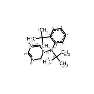 CC(C)(C)c1ccccc1N(N1C=NC=NC1)C(C)(C)C